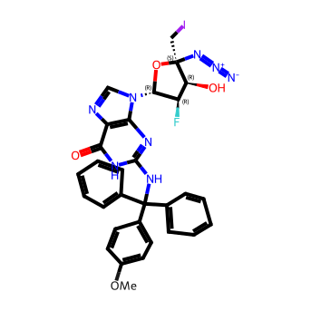 COc1ccc(C(Nc2nc3c(ncn3[C@@H]3O[C@@](CI)(N=[N+]=[N-])[C@@H](O)[C@H]3F)c(=O)[nH]2)(c2ccccc2)c2ccccc2)cc1